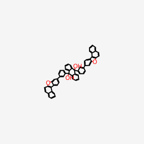 OC1(c2cccc(-c3ccc4c(c3)oc3ccc5ccccc5c34)c2)c2ccccc2C(O)(c2cccc(-c3ccc4c(c3)oc3ccc5ccccc5c34)c2)c2ccccc21